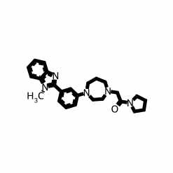 Cn1c(-c2cccc(N3CCCN(CC(=O)N4CCCC4)CC3)c2)nc2ccccc21